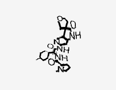 Cn1cccc1C(=O)N[C@H](C(=O)Nc1cc2c(cn1)C1(CCOCC1)C(=O)N2)[C@H]1CC[C@H](C)CC1